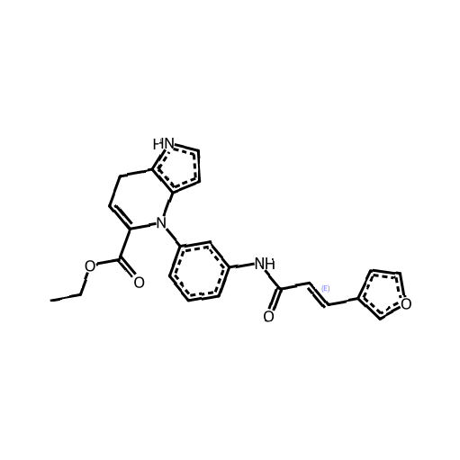 CCOC(=O)C1=CCc2[nH]ccc2N1c1cccc(NC(=O)/C=C/c2ccoc2)c1